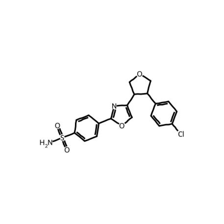 NS(=O)(=O)c1ccc(-c2nc(C3COCC3c3ccc(Cl)cc3)co2)cc1